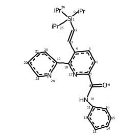 CC(C)[Si](/C=C/c1ccc(C(=O)Nc2ccccc2)nc1-c1ccccn1)(C(C)C)C(C)C